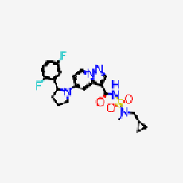 CN(CC1CC1)S(=O)(=O)NC(=O)c1cnn2ccc(N3CCCC3c3cc(F)ccc3F)cc12